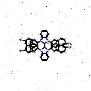 N#Cc1ccc2cc(N3c4ccccc4N(c4ccc5cc(C#N)ccc5c4)C3C3N(c4ccc5cc(C#N)ccc5c4)c4ccccc4N3c3ccc4cc(C#N)ccc4c3)ccc2c1